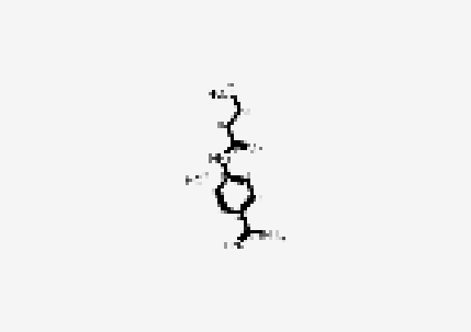 Cl.N=C(N)c1ccc(NC(=O)CCC(=O)O)cc1